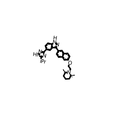 CC(C)c1nc(-c2ccc3[nH]nc(-c4ccc5cc(OCCN6[C@H](C)CCC[C@@H]6C)ccc5c4)c3c2)n[nH]1